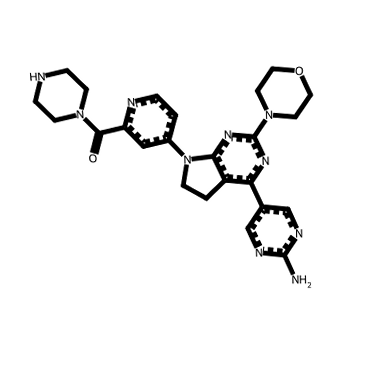 Nc1ncc(-c2nc(N3CCOCC3)nc3c2CCN3c2ccnc(C(=O)N3CCNCC3)c2)cn1